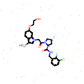 O=C(O)c1cn(CC(=O)N2C[C@H](F)C[C@H]2C(=O)NCc2cccc(Cl)c2F)c2cc(OCCO)ccc12